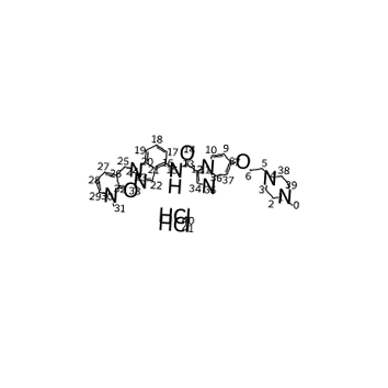 CN1CCN(CCOc2ccn3c(C(=O)Nc4cccc5c4cnn5Cc4cccn(C)c4=O)cnc3c2)CC1.Cl.Cl